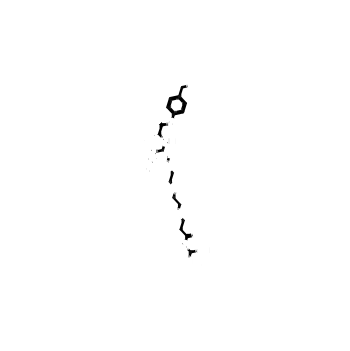 CC(C)NC(=O)CCOCCOCCOC[C@H](N=[N+]=[N-])N[C@@H](C)C(=O)Nc1ccc(CO)cc1